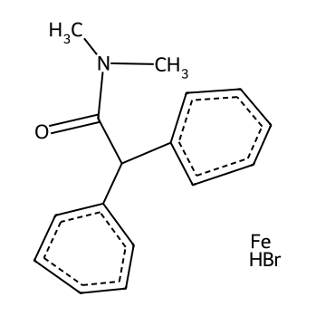 Br.CN(C)C(=O)C(c1ccccc1)c1ccccc1.[Fe]